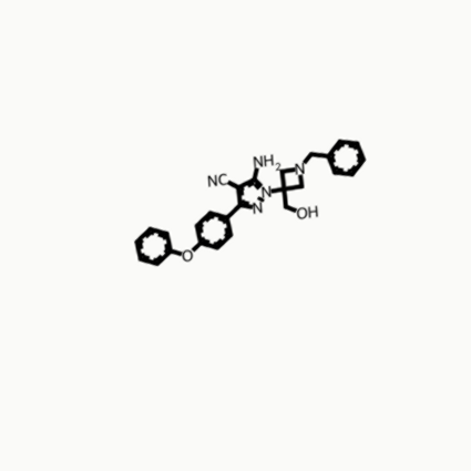 N#Cc1c(-c2ccc(Oc3ccccc3)cc2)nn(C2(CO)CN(Cc3ccccc3)C2)c1N